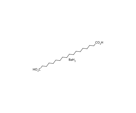 O=C(O)CCCCCCCCCCCCCCCCC(=O)O.[BaH2]